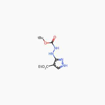 CCOC(=O)c1c[nH]nc1NNC(=O)OC(C)(C)C